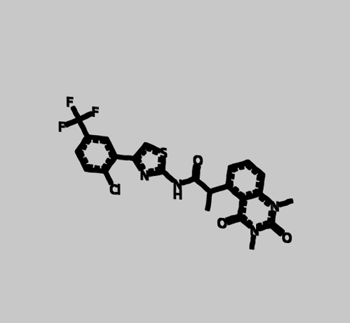 CC(C(=O)Nc1nc(-c2cc(C(F)(F)F)ccc2Cl)cs1)c1cccc2c1c(=O)n(C)c(=O)n2C